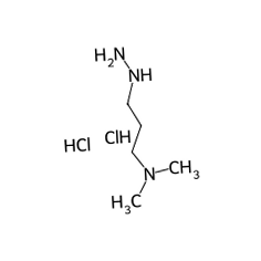 CN(C)CCCNN.Cl.Cl